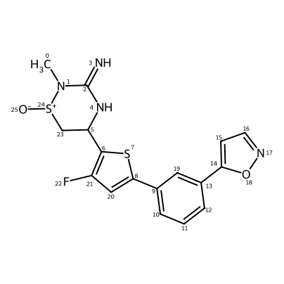 CN1C(=N)NC(c2sc(-c3cccc(-c4ccno4)c3)cc2F)C[S+]1[O-]